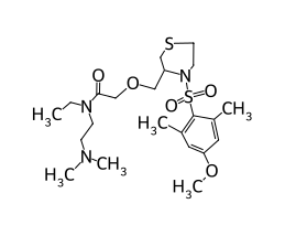 CCN(CCN(C)C)C(=O)COCC1CSCCN1S(=O)(=O)c1c(C)cc(OC)cc1C